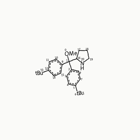 COC(c1ccc(C(C)(C)C)cc1)(c1ccc(C(C)(C)C)cc1)C1CCCN1